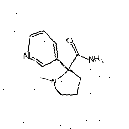 CN1CCCC1(C(N)=O)c1cccnc1